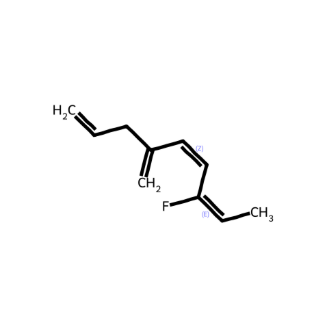 C=CCC(=C)/C=C\C(F)=C/C